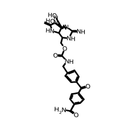 C=C1NC2C(COC(=O)NCc3ccc(C(=O)c4ccc(C(N)=O)cc4)cc3)NC(=N)N3CCC(O)(O)C23N1